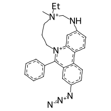 CC[N+]1(C)CCC[n+]2c(-c3ccccc3)c3cc(N=[N+]=[N-])ccc3c3ccc(cc32)NC1